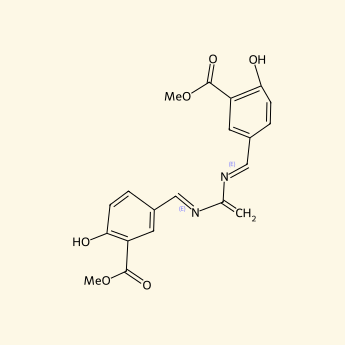 C=C(/N=C/c1ccc(O)c(C(=O)OC)c1)/N=C/c1ccc(O)c(C(=O)OC)c1